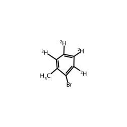 [2H]c1c([2H])c([2H])c(Br)c(C)c1[2H]